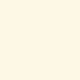 CCCOc1ccc(C2=C(C(=O)OCC)CN(C(=O)OC(C)(C)C)CC2)cc1